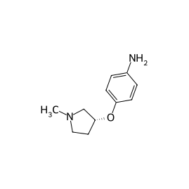 CN1CC[C@@H](Oc2ccc(N)cc2)C1